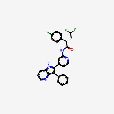 O=C(Nc1cc(-c2[nH]c3cccnc3c2-c2ccccc2)ccn1)[C@@H](CC(F)F)c1ccc(F)cc1